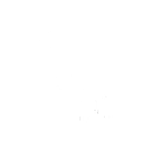 CN(C)C(=O)c1ccc(Oc2ccc(C3CCCC3)cc2)c(F)c1